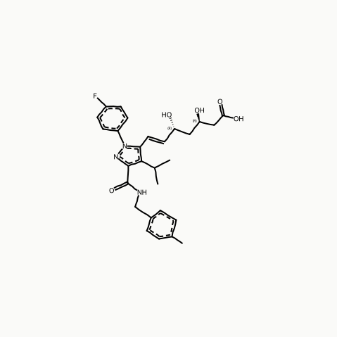 Cc1ccc(CNC(=O)c2nn(-c3ccc(F)cc3)c(C=C[C@H](O)C[C@@H](O)CC(=O)O)c2C(C)C)cc1